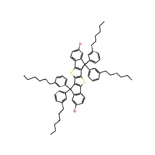 CCCCCCc1cccc(C2(c3cccc(CCCCCC)c3)c3cc(Br)ccc3-c3sc4c5c(sc4c32)-c2ccc(Br)cc2C5(c2cccc(CCCCCC)c2)c2cccc(CCCCCC)c2)c1